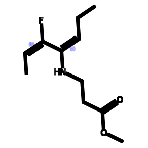 C/C=C(F)\C(=C/CC)NCCC(=O)OC